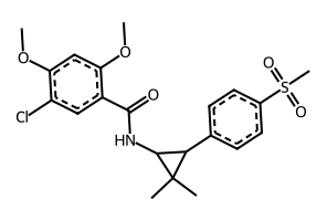 COc1cc(OC)c(C(=O)NC2C(c3ccc(S(C)(=O)=O)cc3)C2(C)C)cc1Cl